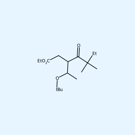 CCOC(=O)CC(C(=O)C(C)(C)CC)C(C)OC(C)(C)C